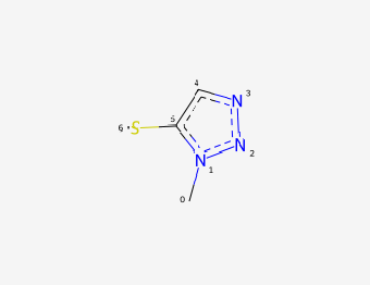 Cn1nncc1[S]